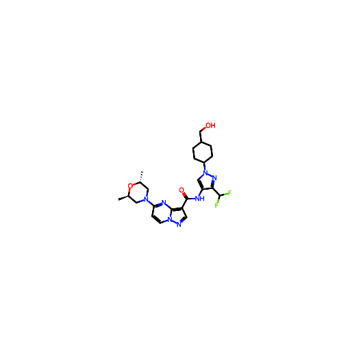 C[C@@H]1CN(c2ccn3ncc(C(=O)Nc4cn(C5CCC(CO)CC5)nc4C(F)F)c3n2)C[C@@H](C)O1